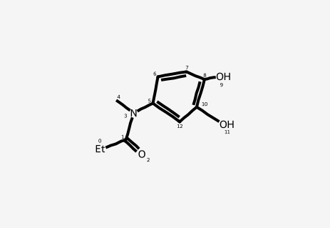 CCC(=O)N(C)c1ccc(O)c(O)c1